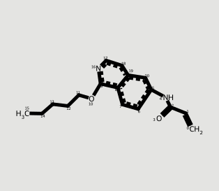 C=CC(=O)Nc1ccc2c(OCCCCC)nccc2c1